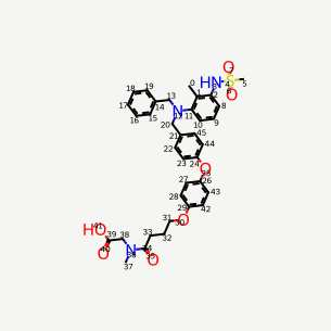 Cc1c(NS(C)(=O)=O)cccc1N(Cc1ccccc1)Cc1ccc(Oc2ccc(OCCCC(=O)N(C)CC(=O)O)cc2)cc1